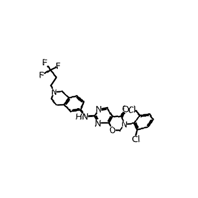 O=C1c2cnc(Nc3ccc4c(c3)CCN(CCC(F)(F)F)C4)nc2OCN1c1c(Cl)cccc1Cl